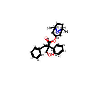 CN1[C@@H]2CC[C@H]1C[C@H](OC(=O)C(CO)(Cc1ccccc1)c1ccccc1)C2